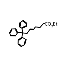 CCOC(=O)CCC/C=C/CC(c1ccccc1)(c1ccccc1)c1ccccc1